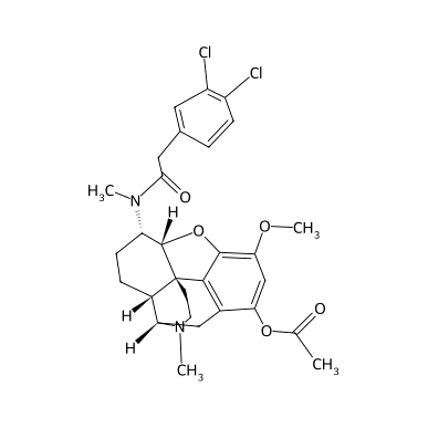 COc1cc(OC(C)=O)c2c3c1O[C@H]1[C@@H](N(C)C(=O)Cc4ccc(Cl)c(Cl)c4)CC[C@H]4[C@@H](C2)N(C)CC[C@@]341